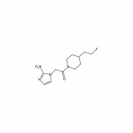 O=C(Cn1ccnc1[N+](=O)[O-])N1CCC(CCF)CC1